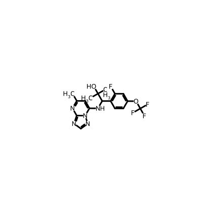 Cc1cc(NC(c2ccc(OC(F)(F)F)cc2F)C(C)(C)O)n2ncnc2n1